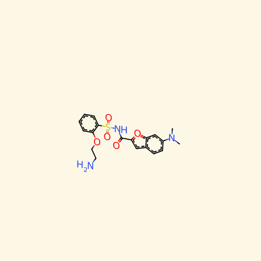 CN(C)c1ccc2cc(C(=O)NS(=O)(=O)c3ccccc3OCCN)oc2c1